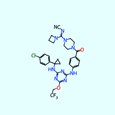 N#CN=C(N1CCC1)N1CCN(C(=O)c2ccc(Nc3nc(NC4(c5ccc(Cl)cc5)CC4)nc(OCC(F)(F)F)n3)cc2)CC1